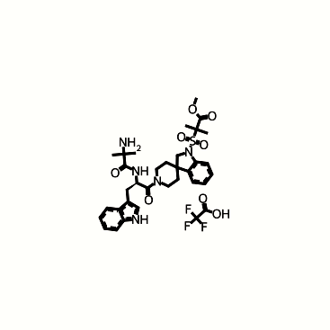 COC(=O)C(C)(C)S(=O)(=O)N1CC2(CCN(C(=O)[C@@H](Cc3c[nH]c4ccccc34)NC(=O)C(C)(C)N)CC2)c2ccccc21.O=C(O)C(F)(F)F